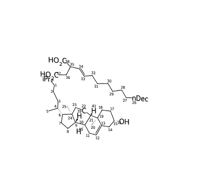 CC(C)CCCC(C)[C@H]1CC[C@H]2[C@@H]3CC=C4C[C@@H](O)CC[C@]4(C)[C@H]3CC[C@]12C.CCCCCCCCCCCCCCCCC=CC(CC(=O)O)C(=O)O